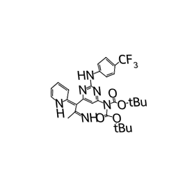 CC(=N)/C(=C1/C=CC=CN1)c1cc(N(C(=O)OC(C)(C)C)C(=O)OC(C)(C)C)nc(Nc2ccc(C(F)(F)F)cc2)n1